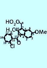 COc1ccc2c(c1)c(CC(=O)O)c(C)n2C(=O)c1ccccc1Cl